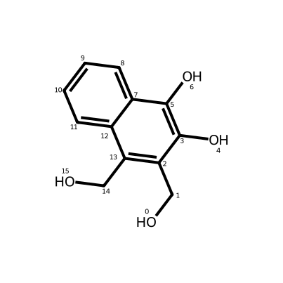 OCc1c(O)c(O)c2ccccc2c1CO